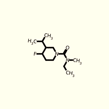 CCN(C)C(=O)N1CCC(F)C(C(C)C)C1